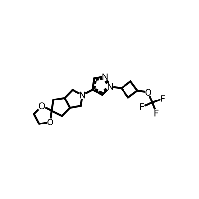 FC(F)(F)OC1CC(n2cc(N3CC4CC5(CC4C3)OCCO5)cn2)C1